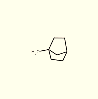 [CH2]C12CCC(CC1)C2